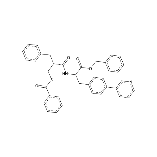 O=C(SCC(Cc1ccccc1)C(=O)NC(Cc1ccc(-c2cccnc2)cc1)C(=O)OCc1ccccc1)c1ccccc1